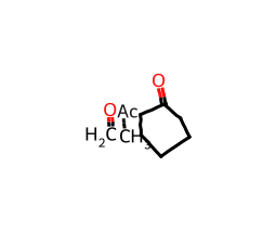 C=O.CC(C)=O.O=C1CCCCC1